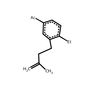 C=C(C)CCc1cc(C(C)=O)ccc1CC